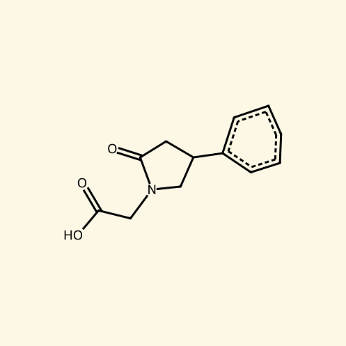 O=C(O)CN1CC(c2ccccc2)CC1=O